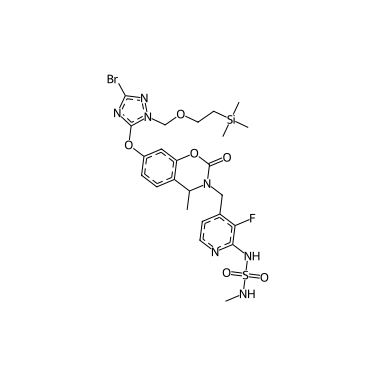 CNS(=O)(=O)Nc1nccc(CN2C(=O)Oc3cc(Oc4nc(Br)nn4COCC[Si](C)(C)C)ccc3C2C)c1F